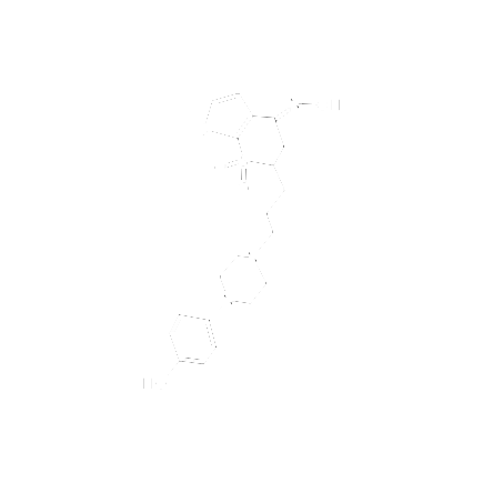 O=S1(=O)c2sccc2/C(=N/O)CC1CCCN1CCN(c2ccc(O)cc2)CC1